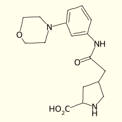 O=C(CC1CNC(C(=O)O)C1)Nc1cccc(N2CCOCC2)c1